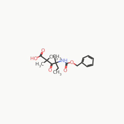 CCC(C)(NC(=O)OCc1ccccc1)C(=O)C(C)(C)C(=O)O